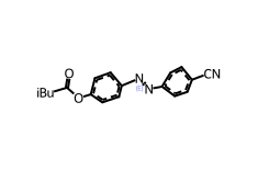 CCC(C)C(=O)Oc1ccc(/N=N/c2ccc(C#N)cc2)cc1